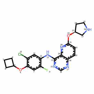 Fc1cc(OC2CCC2)c(Cl)cc1Nc1ncnc2ccc(O[C@H]3CCNC3)nc12